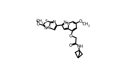 COc1cc(OCC(=O)NC23CC(C2)C3)c2cc(-c3cn4nc(OC)sc4n3)nn2c1